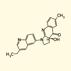 CCc1cnc2ccc(N3CC[C@@]4(O)C(=O)c5cc(C)ccc5N=C34)cc2c1